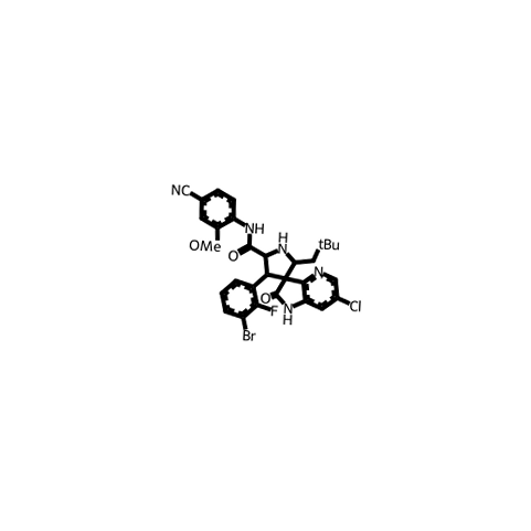 COc1cc(C#N)ccc1NC(=O)C1NC(CC(C)(C)C)C2(C(=O)Nc3cc(Cl)cnc32)C1c1cccc(Br)c1F